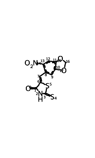 O=C1NC(=S)S/C1=C\c1cc2c(cc1[N+](=O)[O-])OCO2